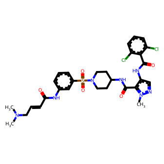 CN(C)CC=CC(=O)Nc1cccc(S(=O)(=O)N2CCC(NC(=O)c3c(NC(=O)c4c(Cl)cccc4Cl)cnn3C)CC2)c1